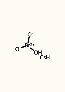 [CsH].[O-][Br+2]([O-])O